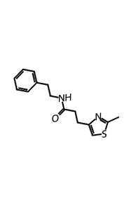 Cc1nc(CCC(=O)NCCc2ccccc2)cs1